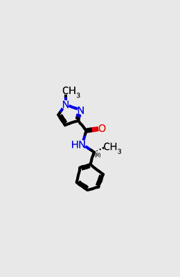 C[C@@H](NC(=O)c1ccn(C)n1)c1ccccc1